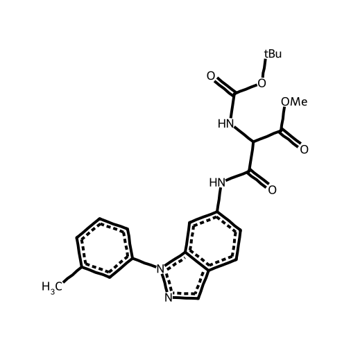 COC(=O)C(NC(=O)OC(C)(C)C)C(=O)Nc1ccc2cnn(-c3cccc(C)c3)c2c1